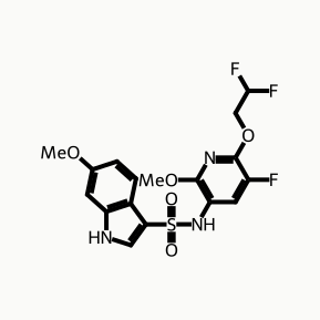 COc1ccc2c(S(=O)(=O)Nc3cc(F)c(OCC(F)F)nc3OC)c[nH]c2c1